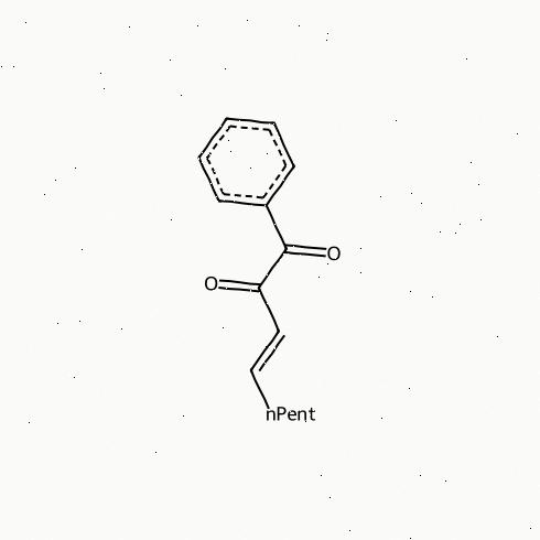 CCCCCC=CC(=O)C(=O)c1ccccc1